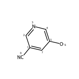 N#Cc1cncc([O])c1